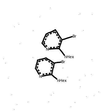 CCCCCCc1ncccc1Br.CCCCCCc1ncccc1Br